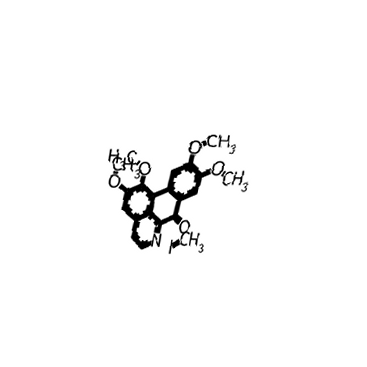 CI.COc1cc2c(cc1OC)-c1c(OC)c(OC)cc3ccnc(c13)C2=O